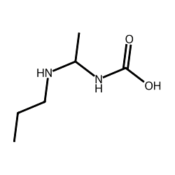 CCCNC(C)NC(=O)O